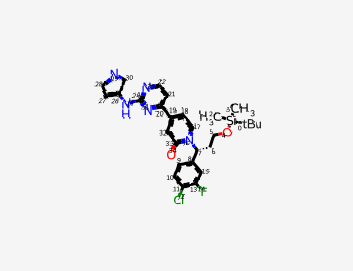 CC(C)(C)[Si](C)(C)OCC[C@H](c1ccc(Cl)c(F)c1)n1ccc(-c2ccnc(NC3=CC=NC3)n2)cc1=O